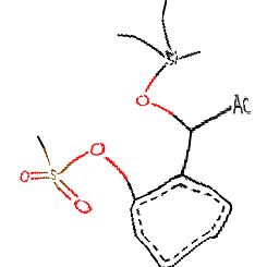 CC(=O)C(O[Si](C)(C)C)c1ccccc1OS(C)(=O)=O